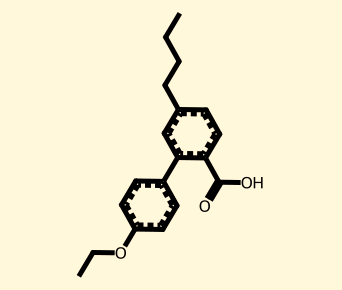 CCCCc1ccc(C(=O)O)c(-c2ccc(OCC)cc2)c1